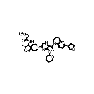 C[C@@H]1OCC2(CCN(c3cnc4c(N5CCCc6nc(C7CCOC7)ccc65)nn(C5CCCCO5)c4n3)CC2)[C@@H]1NC(=O)OC(C)(C)C